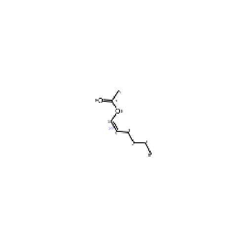 CCCC/C=C\OC(C)=O